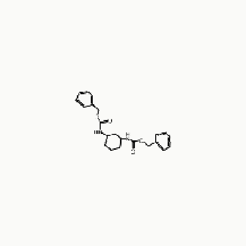 O=C(NC1CCCC(NC(=O)OCc2ccccc2)C1)OCc1ccccc1